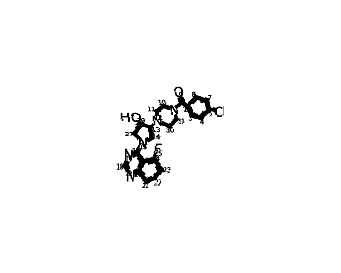 O=C(c1ccc(Cl)cc1)N1CCN([C@H]2CN(c3ncnc4cccc(F)c34)C[C@@H]2O)CC1